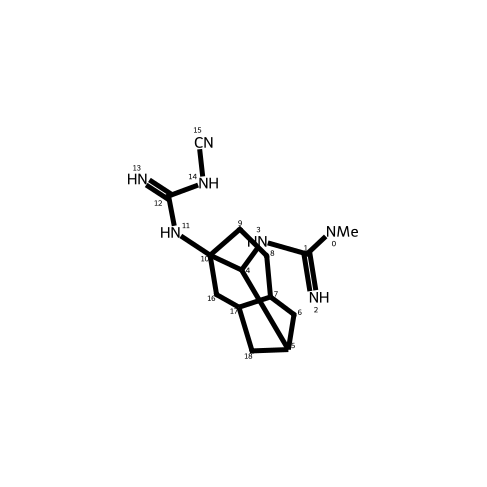 CNC(=N)NC1C2CC3CCC1(NC(=N)NC#N)CC3C2